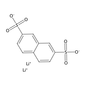 O=S(=O)([O-])c1ccc2ccc(S(=O)(=O)[O-])cc2c1.[Li+].[Li+]